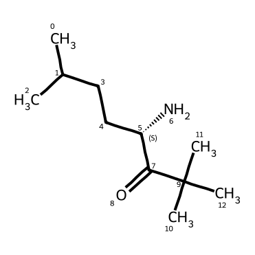 CC(C)CC[C@H](N)C(=O)C(C)(C)C